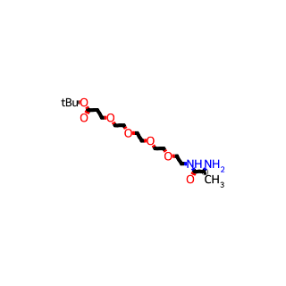 C[C@H](N)C(=O)NCCOCCOCCOCCOCCC(=O)OC(C)(C)C